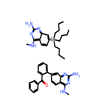 CCC[CH2][Sn]([CH2]CCC)([CH2]CCC)[c]1ccc2c(NC)nc(N)nc2c1.CNc1nc(N)nc2cc(-c3ccccc3C(=O)c3ccccc3)ccc12